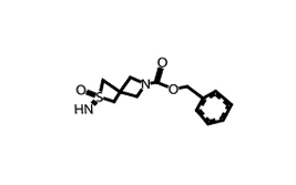 N=S1(=O)CC2(CN(C(=O)OCc3ccccc3)C2)C1